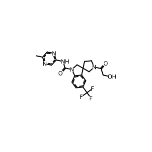 Cc1cnc(NC(=O)N2CC3(CCN(C(=O)CO)C3)c3cc(C(F)(F)F)ccc32)cn1